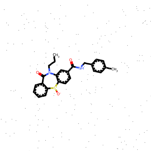 CCCN1C(=O)c2ccccc2[S+]([O-])c2ccc(C(=O)NCc3ccc(C)cc3)cc21